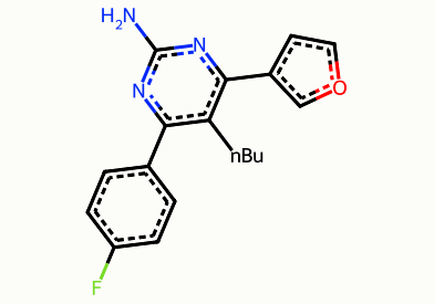 CCCCc1c(-c2ccc(F)cc2)nc(N)nc1-c1ccoc1